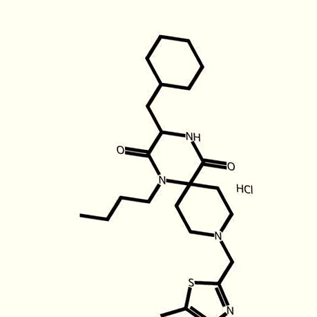 CCCCN1C(=O)C(CC2CCCCC2)NC(=O)C12CCN(Cc1ncc(C)s1)CC2.Cl